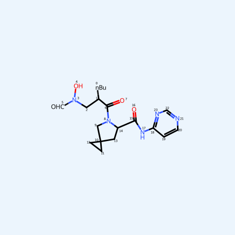 CCCCC(CN(O)C=O)C(=O)N1CC2(CC2)CC1C(=O)Nc1ccncn1